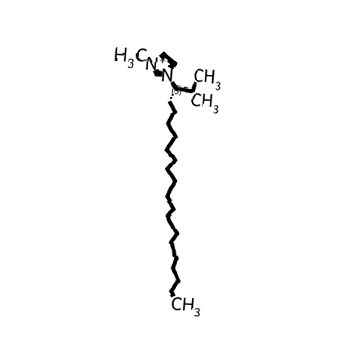 CCCCCCCCCCCCCCCCCC[C@@H](C(C)C)n1cc[n+](C)c1